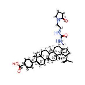 C=C(C)[C@@H]1CC[C@]2(CNC(=O)NCCN3CCCC3=O)CC[C@]3(C)[C@H](CC[C@@H]4[C@@]5(C)CC=C(c6ccc(C(=O)O)cc6)C(C)(C)[C@@H]5CC[C@]43C)[C@@H]12